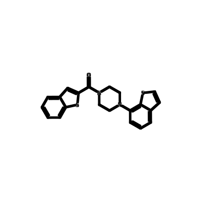 O=C(c1cc2ccccc2s1)N1CCN(c2cccc3ccsc23)CC1